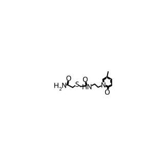 Cc1ccc(=O)n(CCNC(=O)CSCC(N)=O)c1